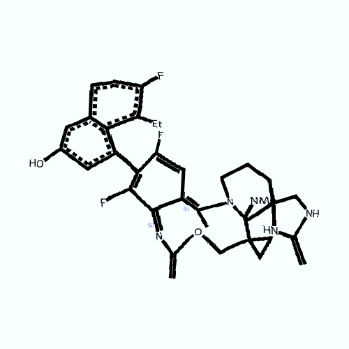 C=C1NCC2(CCCN(/C(C)=C3\C=C(F)C(c4cc(O)cc5ccc(F)c(CC)c45)=C(F)\C3=N\C(=C)OCC3(CNC)CC3)C2)N1